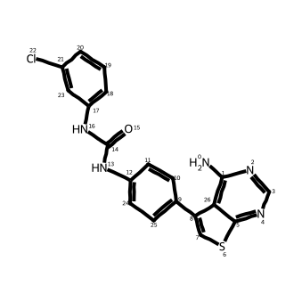 Nc1ncnc2scc(-c3ccc(NC(=O)Nc4cccc(Cl)c4)cc3)c12